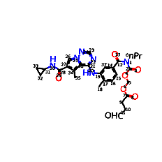 CCCN(C(=O)OCOC(=O)CCC=O)C(=O)c1ccc(C)c(Nc2ncnn3cc(C(=O)NC4CC4)c(C)c23)c1